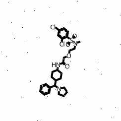 CN(CCOCC(=O)NC1CCC(C(c2ccccc2)N2CCCC2)CC1)S(=O)(=O)c1ccc(Cl)cc1Cl